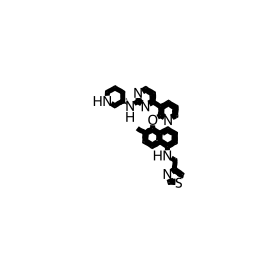 Cc1ccc2c(NCc3cscn3)cccc2c1Oc1ncccc1-c1ccnc(N[C@H]2CCCNC2)n1